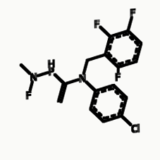 C=C(PN(C)F)N(Cc1c(F)ccc(F)c1F)c1ccc(Cl)cc1